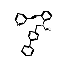 O=CN(Cc1ccc(-c2ccccc2)cc1)c1ccccc1C#Cc1cccnc1